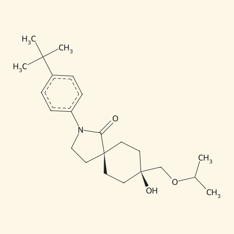 CC(C)OC[C@]1(O)CC[C@]2(CCN(c3ccc(C(C)(C)C)cc3)C2=O)CC1